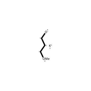 COCCC[O-].[K+]